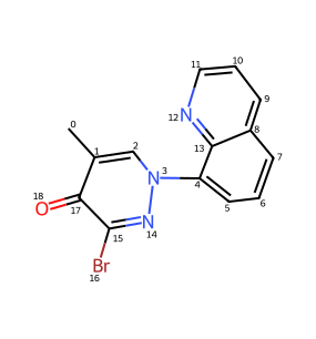 Cc1cn(-c2cccc3cccnc23)nc(Br)c1=O